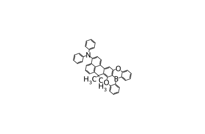 CC1(C)c2c(cc3c4c2Oc2ccccc2B4c2ccccc2O3)-c2ccc(N(c3ccccc3)c3ccccc3)c3cccc1c23